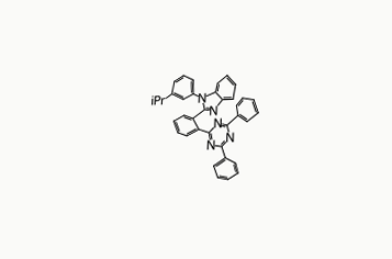 CC(C)c1cccc(-n2c(-c3ccccc3-c3nc(-c4ccccc4)nc(-c4ccccc4)n3)nc3ccccc32)c1